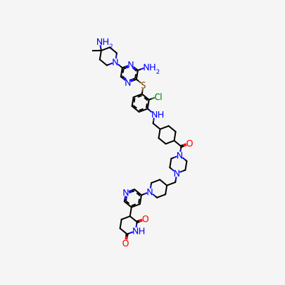 CC1(N)CCN(c2cnc(Sc3cccc(NCC4CCC(C(=O)N5CCN(CC6CCN(c7cncc(C8CCC(=O)NC8=O)c7)CC6)CC5)CC4)c3Cl)c(N)n2)CC1